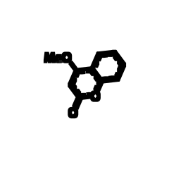 COc1cc(=O)oc2ccccc12